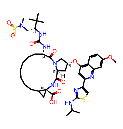 COc1ccc2c(O[C@@H]3C[C@H]4C(=O)N[C@]5(C(=O)O)CC5CCCCCCC[C@H](NC(=O)N[C@H](CN(C)[SH](=O)=O)C(C)(C)C)C(=O)N4C3)cc(-c3csc(NC(C)C)n3)nc2c1